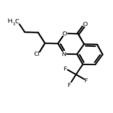 CCCC(Cl)c1nc2c(C(F)(F)F)cccc2c(=O)o1